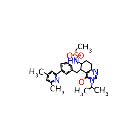 CCS(=O)(=O)NC1CCc2ncn(C(C)C)c(=O)c2C1Cc1cccc(-c2cc(C)cc(C)n2)c1